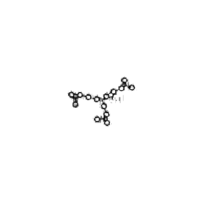 CC1(C)c2cc(-c3ccc4c(c3)c3ccccc3n4-c3ccccc3)ccc2-c2ccc(N(c3ccc(-c4ccc(-c5ccc6c7ccccc7n(-c7ccccc7)c6c5)cc4)cc3)c3ccc(-c4ccc5c6ccccc6n(-c6ccccc6)c5c4)cc3)cc21